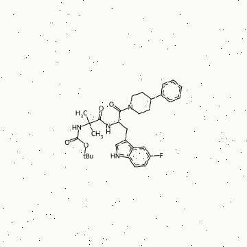 CC(C)(C)OC(=O)NC(C)(C)C(=O)NC(Cc1c[nH]c2ccc(F)cc12)C(=O)N1CCC(c2ccccc2)CC1